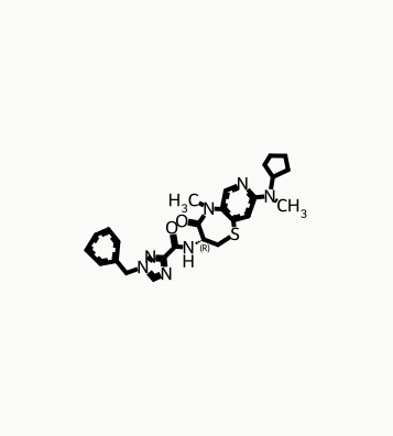 CN1C(=O)[C@@H](NC(=O)c2ncn(Cc3ccccc3)n2)CSc2cc(N(C)C3CCCC3)ncc21